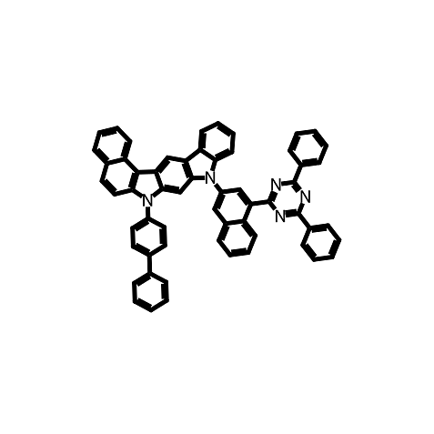 c1ccc(-c2ccc(-n3c4cc5c(cc4c4c6ccccc6ccc43)c3ccccc3n5-c3cc(-c4nc(-c5ccccc5)nc(-c5ccccc5)n4)c4ccccc4c3)cc2)cc1